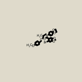 COc1ccc(COC[C@H](C)CN(C(=O)c2cc3c(cc2Br)OCO3)C2=CCC3(CC2)OCCO3)cc1